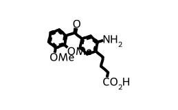 COc1cccc(C(=O)c2ccc(CCCC(=O)O)c(N)c2)c1OC